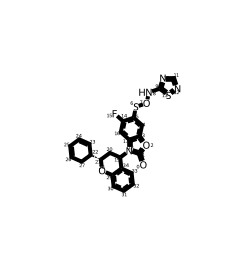 O=c1oc2cc(SONc3ncns3)c(F)cc2n1C1C[C@@H](C2C=CC=CC2)Oc2ccccc21